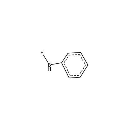 FBc1ccccc1